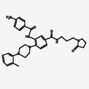 Cc1ccccc1N1CCN(c2ccc(C(=O)NCCCN3CCCC3=O)cc2NC(=O)c2ccc(N)cc2)CC1